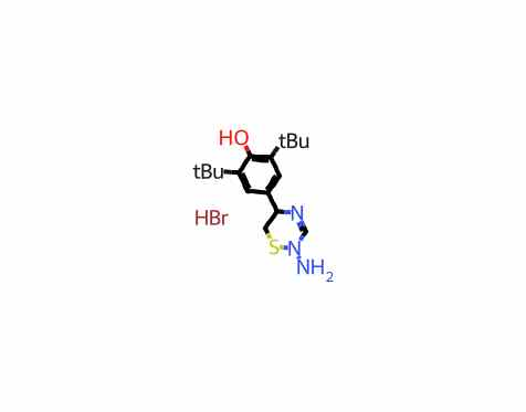 Br.CC(C)(C)c1cc(C2CSN(N)C=N2)cc(C(C)(C)C)c1O